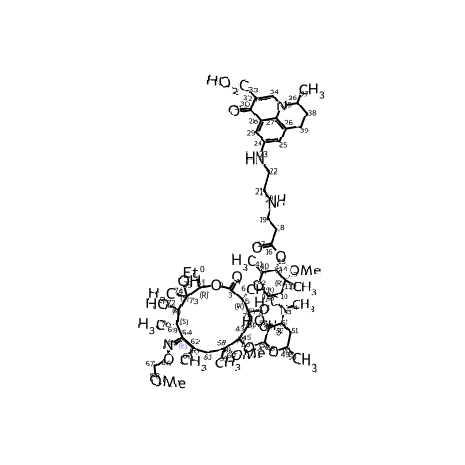 CC[C@H]1OC(=O)[C@H](C)[C@@H](O[C@H]2C[C@@](C)(OC)[C@@H](OC(=O)CCNCCNc3cc4c5c(c3)c(=O)c(C(=O)O)cn5C(C)CC4)[C@H](C)O2)[C@H](C)[C@@H](O[C@@H]2O[C@H](C)C[C@H](N(C)C)[C@H]2O)[C@](C)(OC)C[C@@H](C)/C(=N\OCOC)[C@H](C)[C@@H](O)[C@]1(C)O